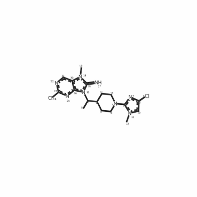 CC(C1CCN(c2nc(Cl)cn2C)CC1)n1c(=N)n(C)c2cnc(Cl)nc21